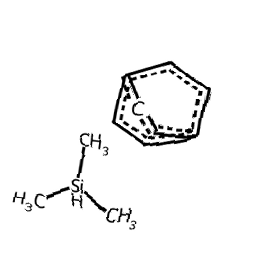 C[SiH](C)C.c1cc2ccc1cc2